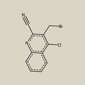 N#Cc1nc2ccccc2c(Cl)c1CBr